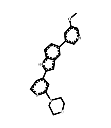 COc1cncc(-c2ccc3[nH]c(-c4ccnc(N5CCOCC5)c4)cc3c2)c1